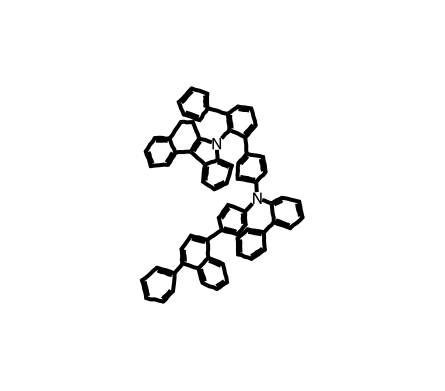 c1ccc(-c2ccccc2N(c2ccc(-c3cccc(-c4ccccc4)c3-n3c4c(c5ccccc53)-c3ccccc3CC4)cc2)c2ccc(-c3ccc(-c4ccccc4)c4ccccc34)cc2)cc1